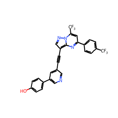 Oc1ccc(-c2cncc(C#Cc3cnn4c(C(F)(F)F)cc(-c5ccc(C(F)(F)F)cc5)nc34)c2)cc1